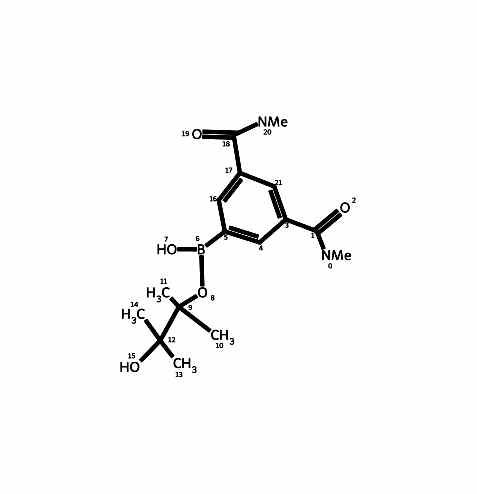 CNC(=O)c1cc(B(O)OC(C)(C)C(C)(C)O)cc(C(=O)NC)c1